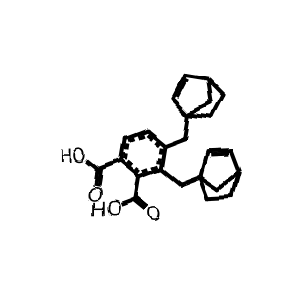 O=C(O)c1ccc(CC23C=CC(CC2)C3)c(CC23C=CC(CC2)C3)c1C(=O)O